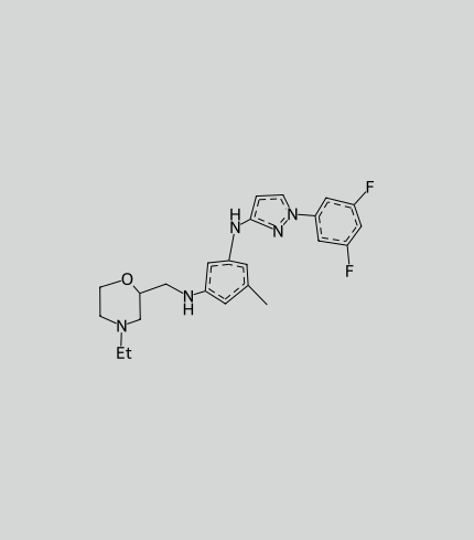 CCN1CCOC(CNc2cc(C)cc(Nc3ccn(-c4cc(F)cc(F)c4)n3)c2)C1